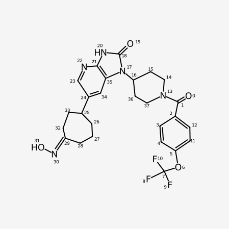 O=C(c1ccc(OC(F)(F)F)cc1)N1CCC(n2c(=O)[nH]c3ncc(C4CCCC(=NO)CC4)cc32)CC1